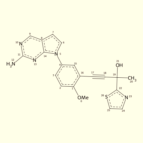 COc1ccc(-n2ccc3cnc(N)nc32)cc1C#CC(C)(O)c1nccs1